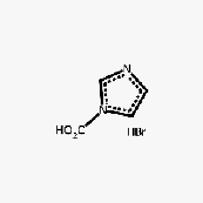 Br.O=C(O)n1ccnc1